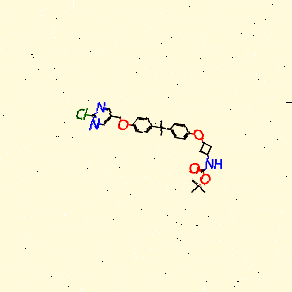 CC(C)(C)OC(=O)NC1CC(Oc2ccc(C(C)(C)c3ccc(OCc4cnc(Cl)nc4)cc3)cc2)C1